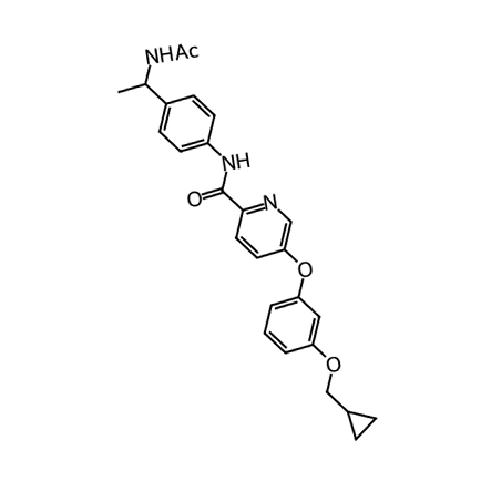 CC(=O)NC(C)c1ccc(NC(=O)c2ccc(Oc3cccc(OCC4CC4)c3)cn2)cc1